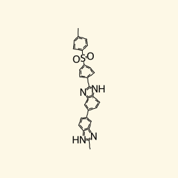 Cc1ccc(S(=O)(=O)c2ccc(-c3nc4cc(-c5ccc6[nH]c(C)nc6c5)ccc4[nH]3)cc2)cc1